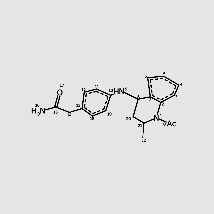 CC(=O)N1c2ccccc2C(Nc2ccc(CC(N)=O)cc2)CC1C